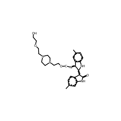 Cc1ccc2c(c1)NC(=O)/C2=C1\Nc2ccc(C)cc2\C1=N/COCCN1CCN(CCOCCO)CC1